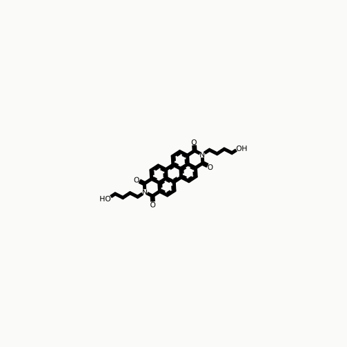 O=C1c2ccc3c4ccc5c6c(ccc(c7ccc(c2c37)C(=O)N1CCCCO)c64)C(=O)N(CCCCO)C5=O